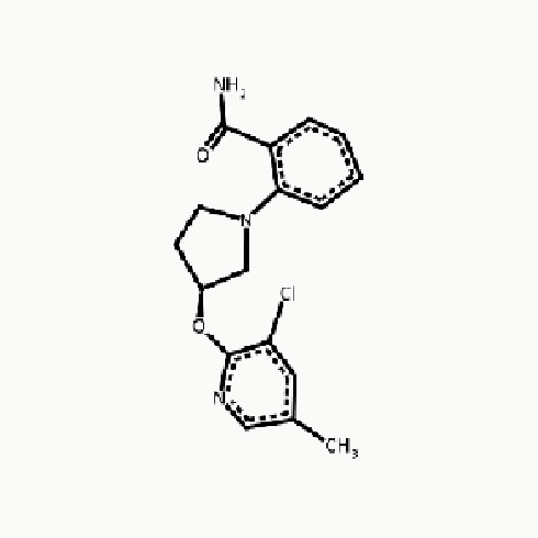 Cc1cnc(O[C@H]2CCN(c3ccccc3C(N)=O)C2)c(Cl)c1